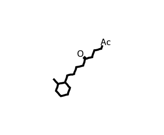 CC(=O)CCCC(=O)CCCCC1CCCCC1C